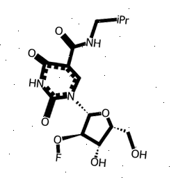 CC(C)CNC(=O)c1cn([C@@H]2O[C@H](CO)[C@H](O)[C@H]2OF)c(=O)[nH]c1=O